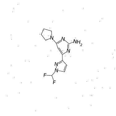 Nc1nc(-c2ccn(C(F)F)n2)cc(N2C[CH]CC2)n1